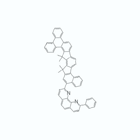 CC1(C)c2cc(-c3ccc4ccc5ccc(-c6ccccc6)nc5c4n3)c3ccccc3c2-c2ccc3c(c21)C(C)(C)c1c-3ccc2c3ccccc3c3ccccc3c12